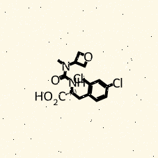 CN(C(=O)N[C@H](Cc1ccc(Cl)cc1Cl)C(=O)O)C1COC1